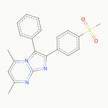 Cc1cc(C)n2c(-c3ccccc3)c(-c3ccc(S(C)(=O)=O)cc3)nc2n1